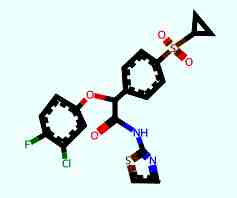 O=C(Nc1n[c]cs1)C(Oc1ccc(F)c(Cl)c1)c1ccc(S(=O)(=O)C2CC2)cc1